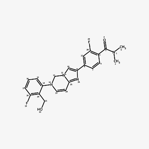 CN(C)C(=O)c1ccc(C2=C[N+]3CN(c4cccc(F)c4CO)C=CC3=N2)cc1F